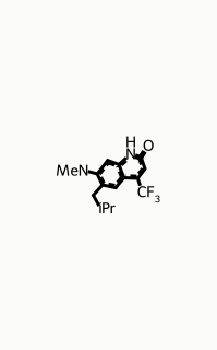 CNc1cc2[nH]c(=O)cc(C(F)(F)F)c2cc1CC(C)C